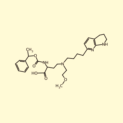 COCCN(CCCCc1ccc2c(n1)NCCC2)CCC(NC(=O)OC(C)c1ccccc1)C(=O)O